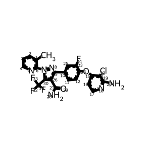 Cc1cccnc1-n1nc(-c2ccc(Oc3ccnc(N)c3Cl)c(F)c2)c(C(N)=O)c1C(F)(F)F